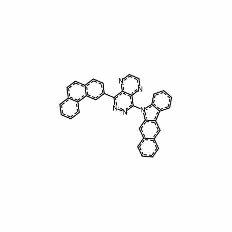 c1ccc2cc3c(cc2c1)c1ccccc1n3-c1nnc(-c2ccc3ccc4ccccc4c3c2)c2nccnc12